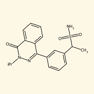 CC(C)n1nc(-c2cccc(C(C)S(N)(=O)=O)c2)c2ccccc2c1=O